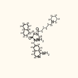 CC(N)N(C(=O)CCCCCN1CCCCC1)[C@@H](Cc1cccc2ccccc12)C(=O)NCc1ccc2c(N)nccc2c1